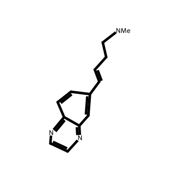 CNCC/C=C/c1ccc2nccnc2c1